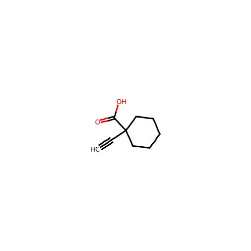 C#CC1(C(=O)O)CCCCC1